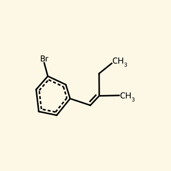 CC/C(C)=C\c1cccc(Br)c1